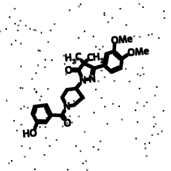 COc1ccc(C2=NN(C3CCN(C(=O)c4cccc(O)c4)CC3)C(=O)C2(C)C)cc1OC